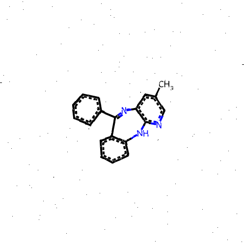 Cc1cnc2c(c1)N=C(c1ccccc1)c1ccccc1N2